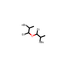 CCCCC(C)C(CC)OC(CC)C(C)CCCC